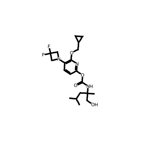 CC(C)CC(C)(CO)NC(=O)Oc1ccc(N2CC(F)(F)C2)c(OCC2CC2)n1